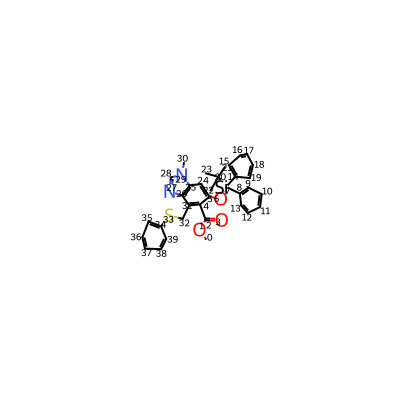 COC(=O)c1c(O[Si](c2ccccc2)(c2ccccc2)C(C)(C)C)cc2c(ncn2C)c1CSc1ccccc1